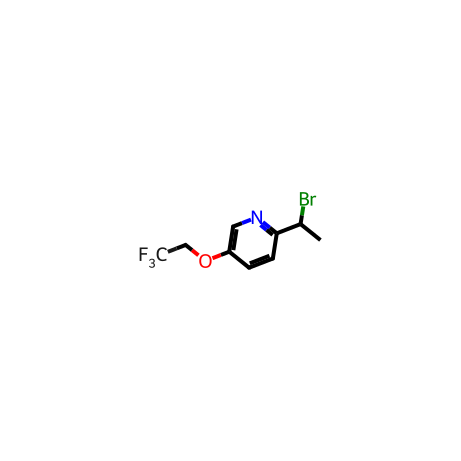 CC(Br)c1ccc(OCC(F)(F)F)cn1